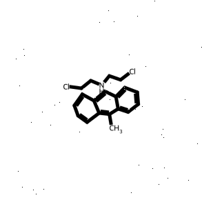 Cc1c2ccccc2cc2ccccc12.ClCCNCCCl